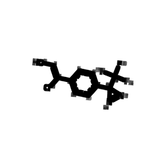 O/C=C(\Cl)c1ccc(C2(C(F)(F)F)N=N2)cc1